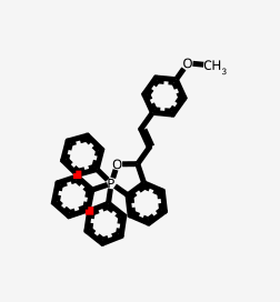 COc1ccc(/C=C/C2OP(c3ccccc3)(c3ccccc3)(c3ccccc3)c3ccccc32)cc1